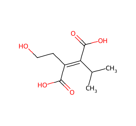 CC(C)/C(C(=O)O)=C(/CCO)C(=O)O